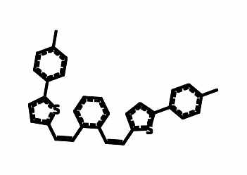 Cc1ccc(-c2ccc(/C=C\c3ccccc3/C=C\c3ccc(-c4ccc(C)cc4)s3)s2)cc1